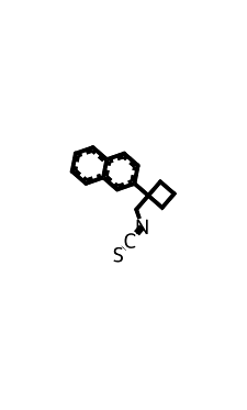 S=C=NCC1(c2ccc3ccccc3c2)CCC1